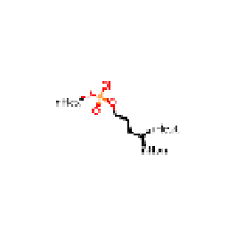 CCCCCCCCCC(CCCCCCC)CCCOP(=O)(O)OCCCCCC